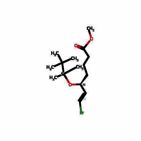 COC(=O)CCC[C@@H](/C=C/Br)O[Si](C)(C)C(C)(C)C